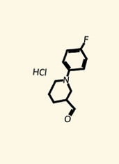 Cl.O=CC1CCCN(c2ccc(F)cc2)C1